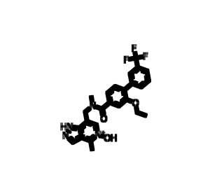 CCOc1cc(C(=O)N(C)Cc2c[n+](O)c(C)c3cn[nH]c23)ccc1-c1cccc(C(F)(F)F)c1